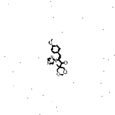 COc1ccc(C=C(C(=O)C2(C)COCOC2)n2cncn2)cc1